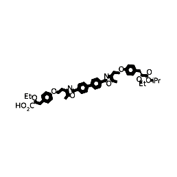 CCO[C@@H](Cc1ccc(OCCc2nc(-c3ccc(-c4ccc(-c5nc(CCOc6ccc(C[C@H](OCC)C(=O)OC(C)C)cc6)c(C)o5)cc4)cc3)oc2C)cc1)C(=O)O